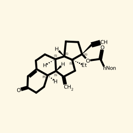 C#C[C@]1(OC(=O)CCCCCCCCC)CC[C@H]2[C@@H]3CCC4=CC(=O)CC[C@@H]4[C@H]3C(=C)C[C@@]21CC